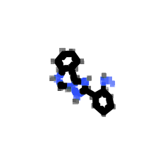 Nc1ccccc1-c1nc2c3ccccc3ncn2n1